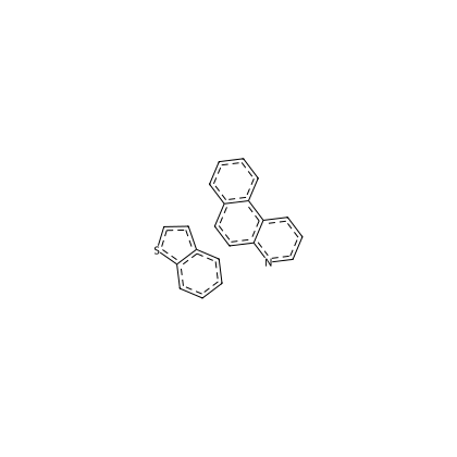 c1ccc2c(c1)ccc1ncccc12.c1ccc2sccc2c1